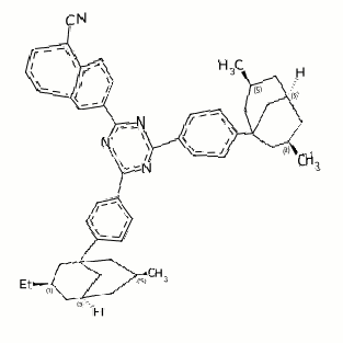 CC[C@@H]1C[C@@H]2C[C@H](C)CC(c3ccc(-c4nc(-c5ccc(C67C[C@H](C)C[C@H](C[C@H](C)C6)C7)cc5)nc(-c5ccc6c(C#N)cccc6c5)n4)cc3)(C1)C2